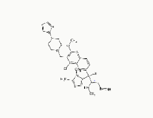 CN/C(=C\N=N)C(O)(c1ccc2nc(OC)c(CN3CCC(n4cccn4)CC3)c(Cl)c2c1)c1cnc(C)n1C